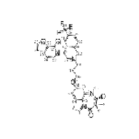 CCN1C(=O)C(C)(C)C(=O)N(C)c2cc(OCCCN(CCn3ccc4ccoc4c3=O)Cc3ccc(C(F)(F)F)cc3)ccc21